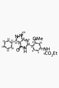 CCOC(=O)Nc1ccc(-c2nc3c(c(-c4ccccc4)nn3C)c(=O)[nH]2)c(OC)c1